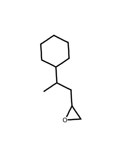 CC(CC1CO1)C1CCCCC1